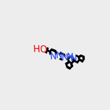 Cc1ccccc1Cc1nnc(N2CCN(c3ccc(C(C)(C)O)cn3)CC2)c2ccccc12